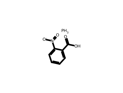 O=C(O)c1ccccc1[N+](=O)[O-].P